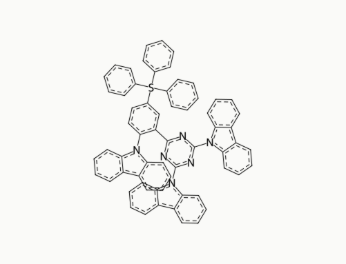 c1ccc(S(c2ccccc2)(c2ccccc2)c2ccc(-n3c4ccccc4c4ccccc43)c(-c3nc(-n4c5ccccc5c5ccccc54)nc(-n4c5ccccc5c5ccccc54)n3)c2)cc1